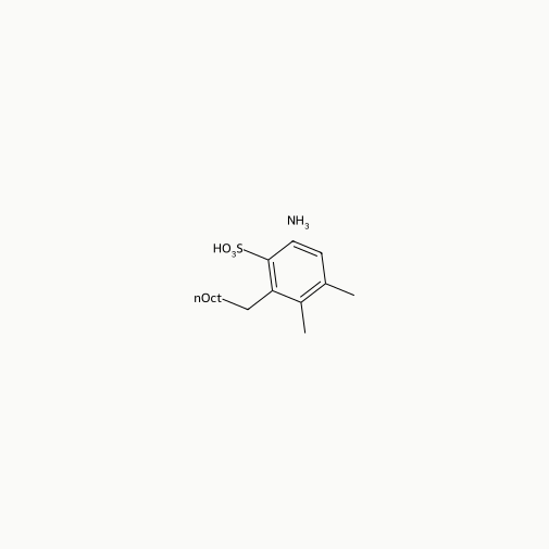 CCCCCCCCCc1c(S(=O)(=O)O)ccc(C)c1C.N